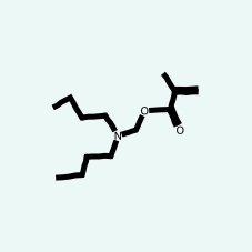 C=C(C)C(=O)OCN(CCCC)CCCC